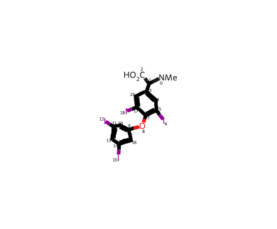 CNC(C(=O)O)c1cc(I)c(Oc2cc(I)cc(I)c2)c(I)c1